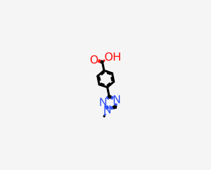 Cn1cnc(-c2ccc(C(=O)O)cc2)n1